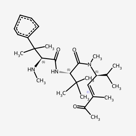 CN[C@H](C(=O)N[C@H](C(=O)N(C)[C@H](/C=C(\C)C(C)=O)C(C)C)C(C)(C)C)C(C)(C)c1ccccc1